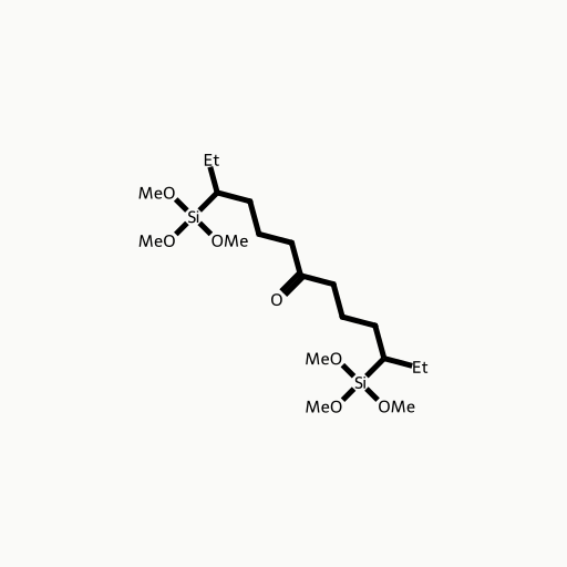 CCC(CCCC(=O)CCCC(CC)[Si](OC)(OC)OC)[Si](OC)(OC)OC